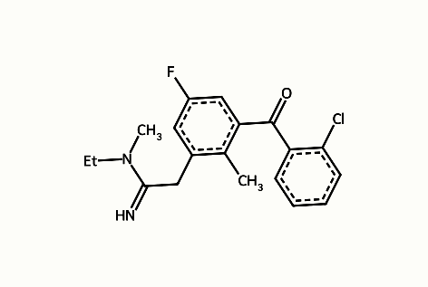 CCN(C)C(=N)Cc1cc(F)cc(C(=O)c2ccccc2Cl)c1C